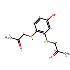 COC(=O)CSc1ccc(O)cc1SCC(=O)OC